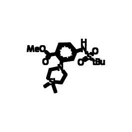 COC(=O)c1ccc(NS(=O)(=O)C(C)(C)C)cc1N1CC[Si](C)(C)CC1